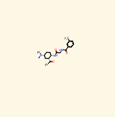 CC(C)C(=O)[C@@H]1C[C@H](N(C)C(C)C)CC[C@@H]1NC(=O)CNC(=O)c1cccc(C(F)(F)F)c1